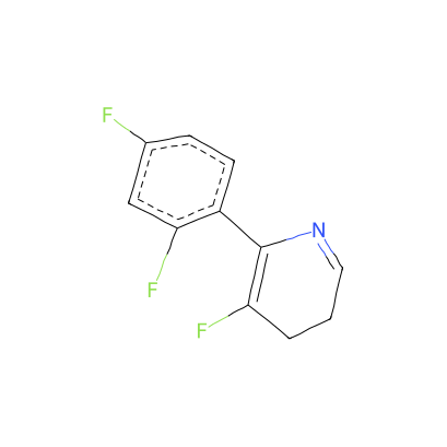 FC1=C(c2ccc(F)cc2F)N=CCC1